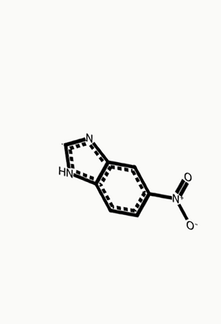 O=[N+]([O-])c1ccc2[nH][c]nc2c1